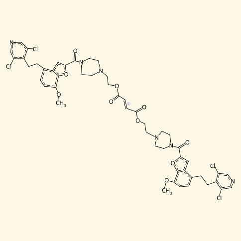 COc1ccc(CCc2c(Cl)cncc2Cl)c2cc(C(=O)N3CCN(CCOC(=O)/C=C/C(=O)OCCN4CCN(C(=O)c5cc6c(CCc7c(Cl)cncc7Cl)ccc(OC)c6o5)CC4)CC3)oc12